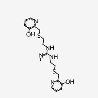 CN=C(NCCSCc1ncccc1O)NCCSCc1ncccc1O